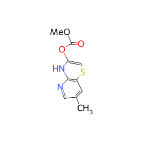 COC(=O)OC1=CSc2cc(C)cnc2N1